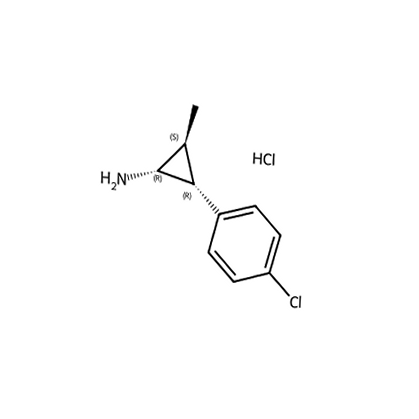 C[C@@H]1[C@@H](N)[C@H]1c1ccc(Cl)cc1.Cl